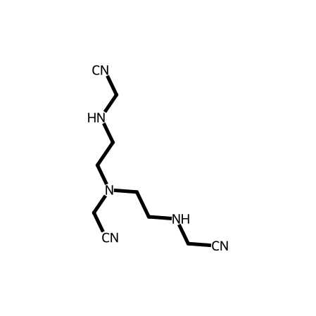 [C-]#[N+]CNCCN(CC#N)CCNCC#N